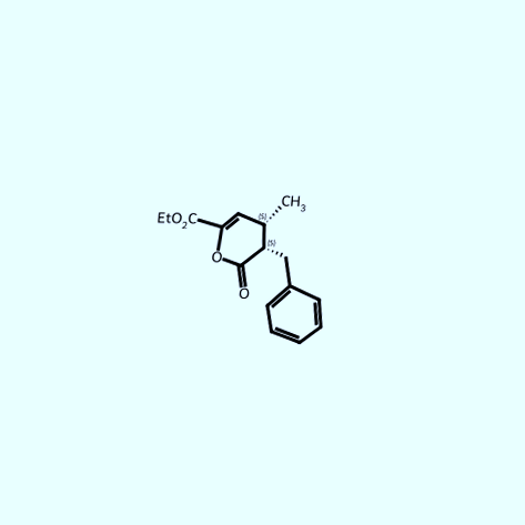 CCOC(=O)C1=C[C@H](C)[C@H](Cc2ccccc2)C(=O)O1